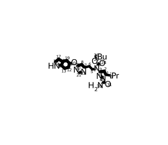 CC(C)c1cc(N(CCc2cc(Oc3ccc4[nH]ccc4c3)ncn2)C(=O)OC(C)(C)C)nn1C(N)=O